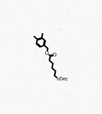 CCCCCCCCCCCCCCCC(=O)OCc1ccc(C)c(C)c1